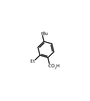 CCc1cc(C(C)(C)C)ccc1C(=O)O